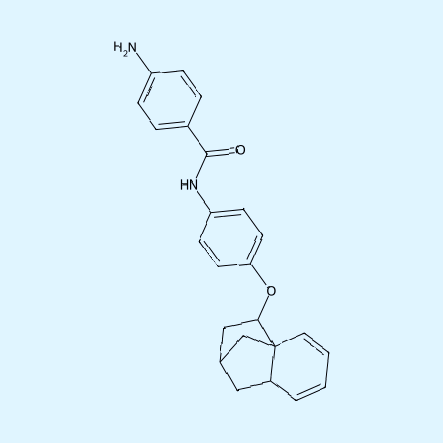 Nc1ccc(C(=O)Nc2ccc(OC3CC4CC5C=CC=CC53C4)cc2)cc1